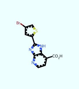 O=C(O)c1ccnc2nc(-c3cc(Br)cs3)[nH]c12